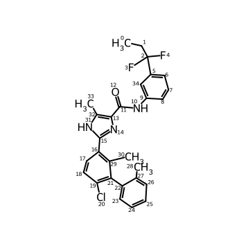 CCC(F)(F)c1cccc(NC(=O)c2nc(-c3ccc(Cl)c(-c4ccccc4C)c3C)[nH]c2C)c1